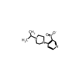 CC(C)N1CCN(c2ccncc2[N+](=O)[O-])CC1